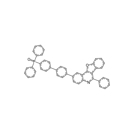 O=P(c1ccccc1)(c1ccccc1)c1ccc(-c2ccc(-c3ccc4nc(-c5ccccc5)c5c6ccccc6oc5c4c3)cc2)cc1